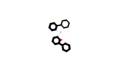 CN(c1ccccc1C1CCCCC1)c1cccc2c1oc1ccccc12